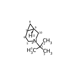 CC(C)(C)N1CCC2C[C@@H]2C1